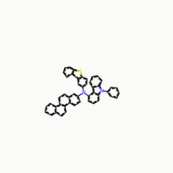 c1ccc(-n2c3ccccc3c3c(N(c4ccc5c(ccc6c7ccccc7ccc56)c4)c4ccc5sc6ccccc6c5c4)cccc32)cc1